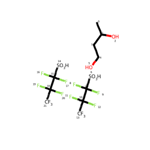 CC(O)CCO.O=S(=O)(O)C(F)(F)C(F)(F)C(F)(F)F.O=S(=O)(O)C(F)(F)C(F)(F)C(F)(F)F